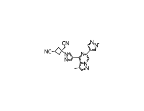 Cc1cnn2cc(-c3cnn(C)c3)nc(-c3cnn([C@]4(CC#N)C[C@@H](C#N)C4)c3)c12